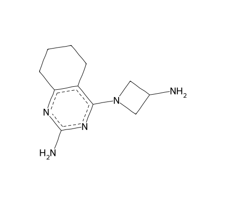 Nc1nc2c(c(N3CC(N)C3)n1)CCCC2